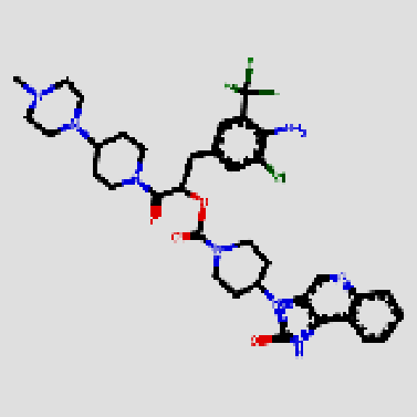 CN1CCN(C2CCN(C(=O)C(Cc3cc(Cl)c(N)c(C(F)(F)F)c3)OC(=O)N3CCC(n4c(=O)[nH]c5c6ccccc6ncc54)CC3)CC2)CC1